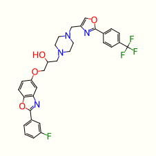 OC(COc1ccc2oc(-c3cccc(F)c3)nc2c1)CN1CCN(Cc2coc(-c3ccc(C(F)(F)F)cc3)n2)CC1